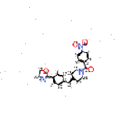 O=C(c1ccc([N+](=O)[O-])cc1)N1CCC(=Cc2ccc(C3=NCCO3)cc2)CC1